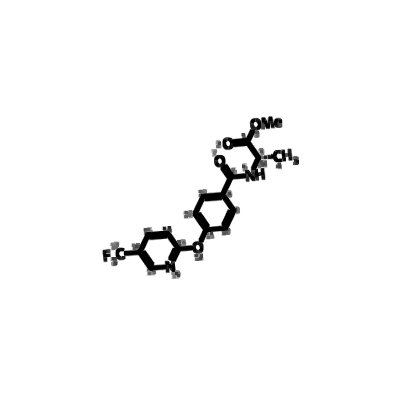 COC(=O)[C@H](C)NC(=O)c1ccc(Oc2ccc(C(F)(F)F)cn2)cc1